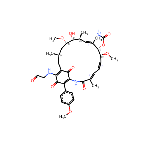 COc1ccc(C2=C3NC(=O)/C(C)=C/C=C\[C@H](OC)[C@@H](OC(N)=O)/C(C)=C/[C@H](C)[C@@H](O)[C@@H](OC)C[C@H](C)CC(=C(NCC=O)C2=O)C3=O)cc1